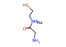 NCC(=O)NCCS.[Na]